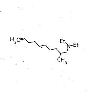 C=CCCCCCCC(C)CN(CC)CC